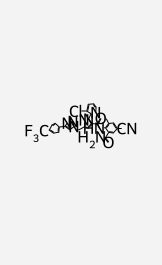 Cc1cc(C#N)cc(C(N)=O)c1NC(=O)c1cc(Cn2cc(-c3ccc(C(F)(F)F)cc3)nn2)nn1-c1ncccc1Cl